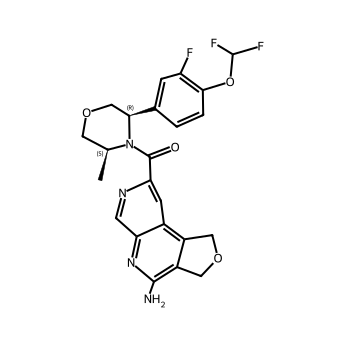 C[C@H]1COC[C@@H](c2ccc(OC(F)F)c(F)c2)N1C(=O)c1cc2c3c(c(N)nc2cn1)COC3